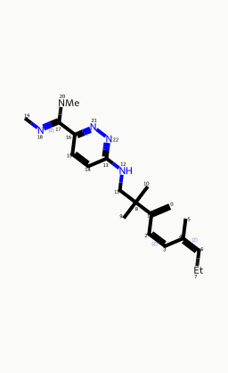 C=C(/C=C\C(C)=C/CC)C(C)(C)CNc1ccc(/C(=N/C)NC)nn1